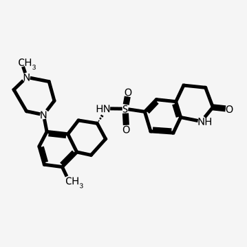 Cc1ccc(N2CCN(C)CC2)c2c1CC[C@@H](NS(=O)(=O)c1ccc3c(c1)CCC(=O)N3)C2